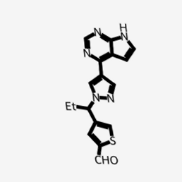 CCC(c1csc(C=O)c1)n1cc(-c2ncnc3[nH]ccc23)cn1